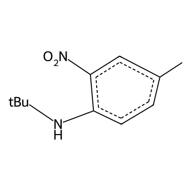 Cc1ccc(NC(C)(C)C)c([N+](=O)[O-])c1